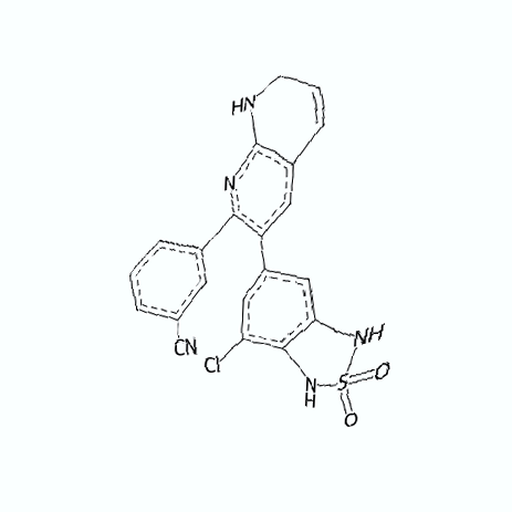 N#Cc1cccc(-c2nc3c(cc2-c2cc(Cl)c4c(c2)NS(=O)(=O)N4)C=CCN3)c1